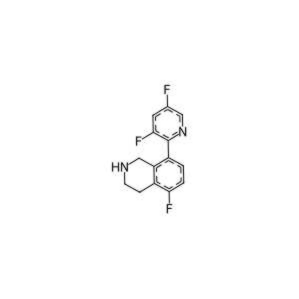 Fc1cnc(-c2ccc(F)c3c2CNCC3)c(F)c1